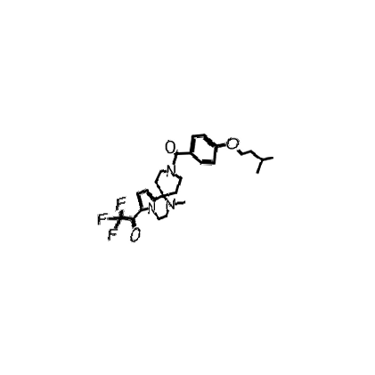 CC(C)CCOc1ccc(C(=O)N2CCC3(CC2)c2ccc(C(=O)C(F)(F)F)n2CCN3C)cc1